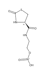 O=C1N[C@H](C(=O)NCCO[N+](=O)O)CS1